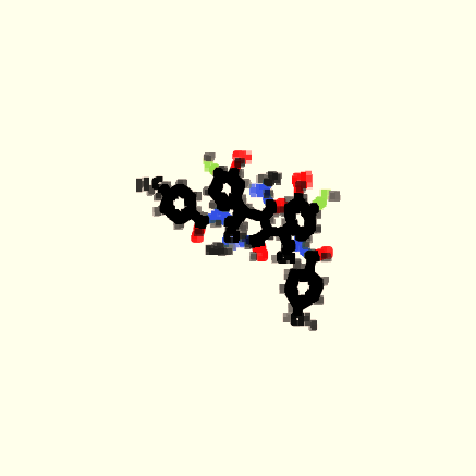 CCCCNC(=O)C(c1c(C)n(C(=O)c2ccc(C)cc2)c2cc(F)c(O)cc12)C(C(=O)NC(C)C)c1c(C)n(C(=O)c2ccc(C)cc2)c2cc(F)c(O)cc12